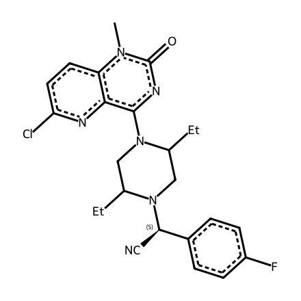 CCC1CN([C@H](C#N)c2ccc(F)cc2)C(CC)CN1c1nc(=O)n(C)c2ccc(Cl)nc12